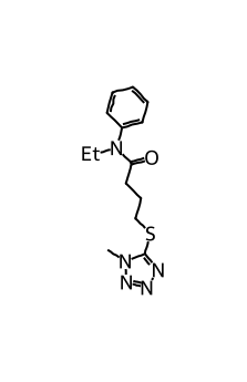 CCN(C(=O)CCCSc1nnnn1C)c1ccccc1